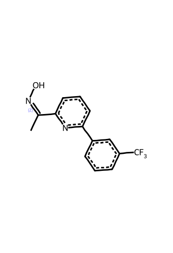 C/C(=N/O)c1cccc(-c2cccc(C(F)(F)F)c2)n1